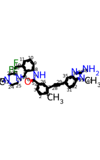 Cc1ccc(C(=O)Nc2cccc(C(F)(F)F)c2CN2CCN(C)CC2)cc1C#Cc1ccc2c(c1)nc(N)n2C